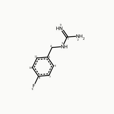 N=C(N)NCc1ccc(F)cc1